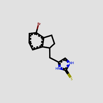 S=c1[nH]cc(CC2CCc3c(Br)cccc32)[nH]1